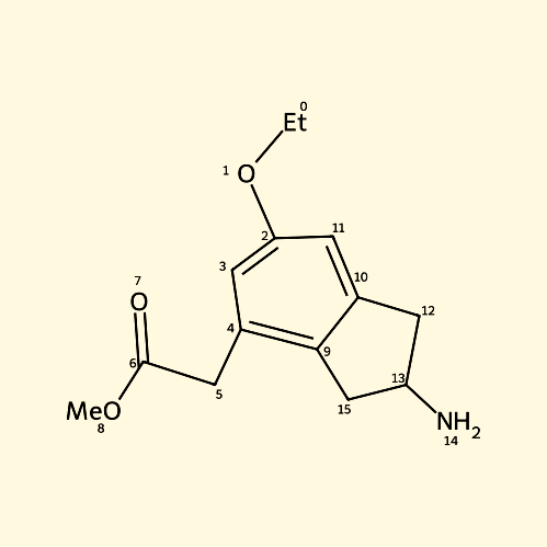 CCOc1cc(CC(=O)OC)c2c(c1)CC(N)C2